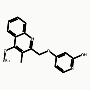 CCCCOc1c(C)c(COc2ccnc(O)c2)nc2ccccc12